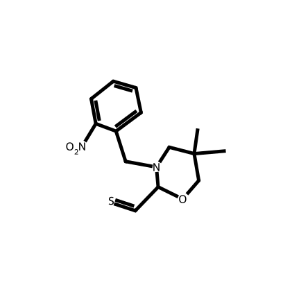 CC1(C)COC(C=S)N(Cc2ccccc2[N+](=O)[O-])C1